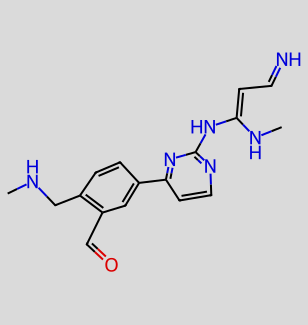 CNCc1ccc(-c2ccnc(N/C(=C/C=N)NC)n2)cc1C=O